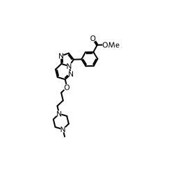 COC(=O)c1cccc(-c2cnc3ccc(OCCCN4CCN(C)CC4)nn23)c1